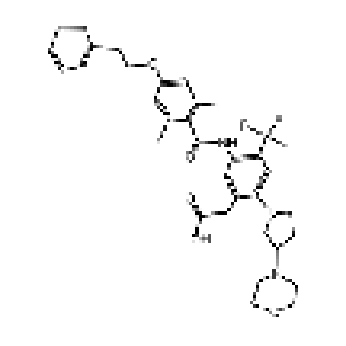 Cc1cc(OCCc2ccccc2)cc(C)c1C(=O)Nc1cc(CC(=O)O)c(N2CCC(N3CCOCC3)C2)cc1C(F)(F)F